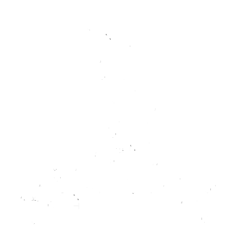 COC(=O)/C=C/c1cccc(N(Cc2ccc(-c3ccc(N(C)C)cc3)cc2)C(=O)C2CCC(NC(=O)OC(C)(C)C)CC2)c1